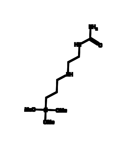 CO[Si](CCCNCCNC(N)=O)(OC)OC